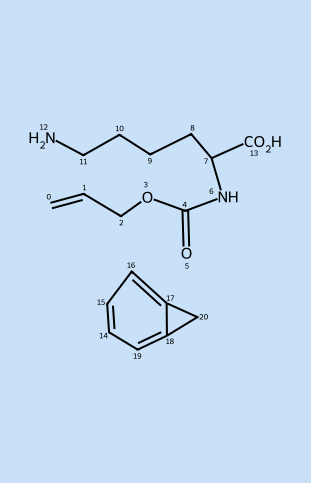 C=CCOC(=O)NC(CCCCN)C(=O)O.c1ccc2c(c1)C2